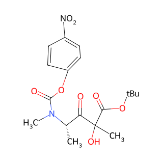 C[C@@H](C(=O)C(C)(O)C(=O)OC(C)(C)C)N(C)C(=O)Oc1ccc([N+](=O)[O-])cc1